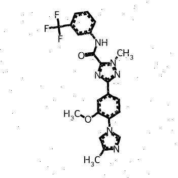 COc1cc(-c2nc(C(=O)Nc3cccc(C(F)(F)F)c3)n(C)n2)ccc1-n1cnc(C)c1